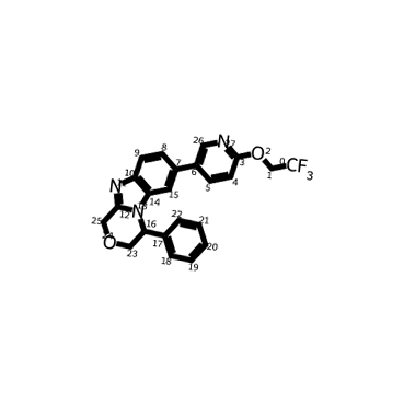 FC(F)(F)COc1ccc(-c2ccc3nc4n(c3c2)C(c2ccccc2)COC4)cn1